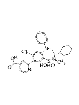 CN1C(C2CCCCC2)CN(c2ccccc2)c2cc(Cl)c(-c3cc(C(=O)O)ccn3)cc2S1(O)O